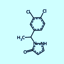 CC(c1ccc(Cl)c(Cl)c1)n1[nH]ccc1=O